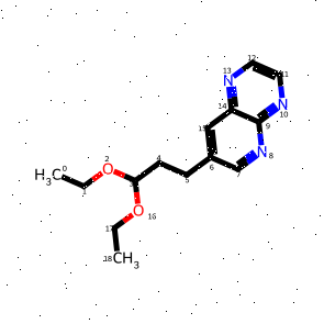 CCOC(CCc1cnc2nccnc2c1)OCC